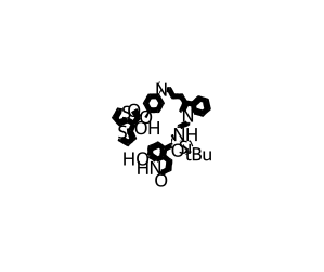 CN(CCCc1cn(CCNC[C@H](O[Si](C)(C)C(C)(C)C)c2ccc(O)c3[nH]c(=O)ccc23)c2ccccc12)[C@H]1CC[C@H](OC(=O)C(O)(c2cccs2)c2cccs2)CC1